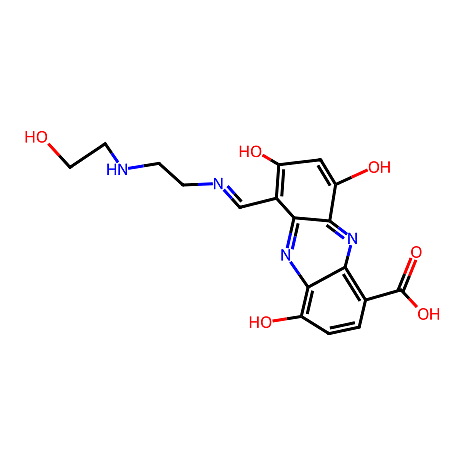 O=C(O)c1ccc(O)c2nc3c(/C=N/CCNCCO)c(O)cc(O)c3nc12